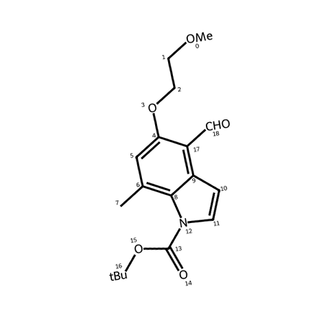 COCCOc1cc(C)c2c(ccn2C(=O)OC(C)(C)C)c1C=O